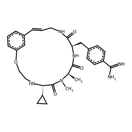 C[C@@H]1C(=O)N[C@H](Cc2ccc(C(=N)N)cc2)C(=O)NC/C=C/c2cccc(c2)OCCN[C@@H](C2CC2)C(=O)N1C